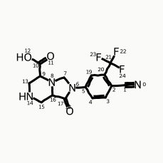 N#Cc1ccc(N2CN3C(C(=O)O)CNCC3C2=O)cc1C(F)(F)F